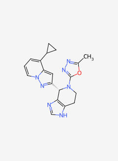 Cc1nnc(N2CCc3[nH]cnc3[C@@H]2c2cc3c(C4CC4)cccn3n2)o1